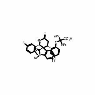 CCCC(CCC)(Oc1ccc(Cl)cc1[C@H]1CC(=O)N[C@@H](c2cc(F)ccc2C)[C@]12C(=O)N(C(C)=O)c1cc(Cl)ccc12)C(=O)O